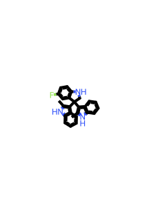 Cc1[nH]c2ccccc2c1C1(c2c(C)[nH]c3ccccc23)CNc2ccc(F)cc21